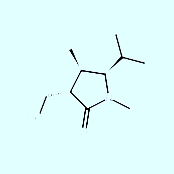 CC(C)[C@@H]1[C@H](C)[C@@H](CO)C(=O)N1C